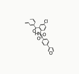 C=C/C=C(\C=C/C)C(=O)c1cc(Cl)ccc1NS(=O)(=O)c1ccc(-c2ccoc2)cc1